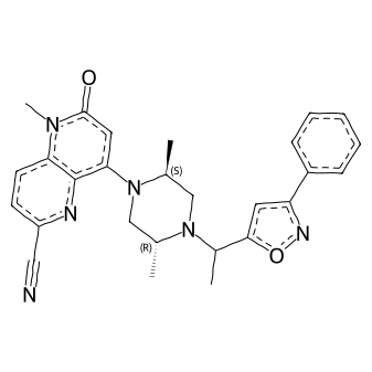 CC(c1cc(-c2ccccc2)no1)N1C[C@H](C)N(c2cc(=O)n(C)c3ccc(C#N)nc23)C[C@H]1C